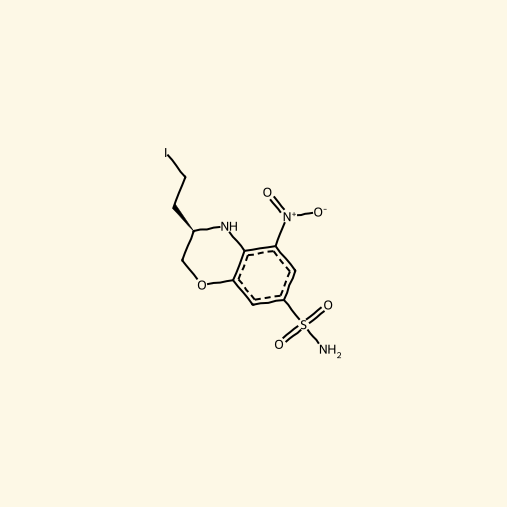 NS(=O)(=O)c1cc2c(c([N+](=O)[O-])c1)N[C@H](CCI)CO2